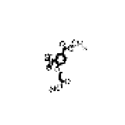 COC(=O)c1ccc(OCCC(=O)O)c([N+](=O)[O-])c1